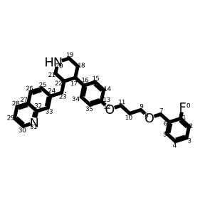 Fc1ccccc1COCCCOc1ccc(C2CCNCC2[CH]c2ccc3cccnc3c2)cc1